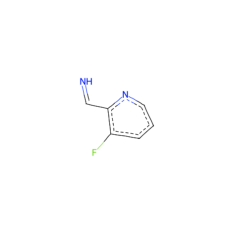 N=Cc1ncccc1F